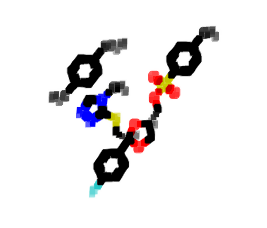 Cc1ccc(S(=O)(=O)O)cc1.Cc1ccc(S(=O)(=O)OC[C@@H]2CO[C@@](CSc3nncn3C)(c3ccc(F)cc3)O2)cc1